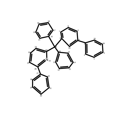 c1ccc(-c2cccc(C(c3ccccc3)(c3ccccc3)c3cccc(-c4ccccc4)n3)c2)cc1